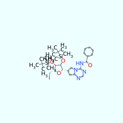 CC(C)(C)[Si](C)(C)O[C@@H]1[C@H](O[Si](C)(C)C(C)(C)C)[C@@H](CI)O[C@H]1c1cc2ncnc(NC(=O)c3ccccc3)n2c1